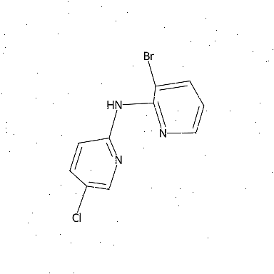 Clc1ccc(Nc2ncccc2Br)nc1